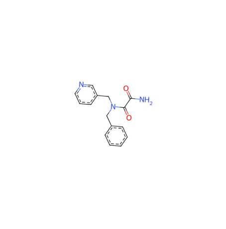 NC(=O)C(=O)N(Cc1ccccc1)Cc1cccnc1